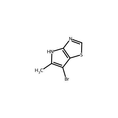 Cc1[nH]c2ncsc2c1Br